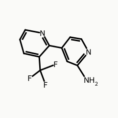 Nc1cc(-c2ncccc2C(F)(F)F)ccn1